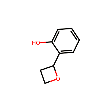 Oc1ccccc1C1CCO1